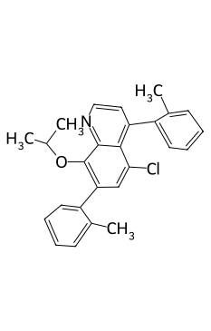 Cc1ccccc1-c1cc(Cl)c2c(-c3ccccc3C)ccnc2c1OC(C)C